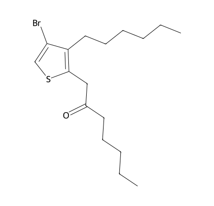 CCCCCCc1c(Br)csc1CC(=O)CCCCC